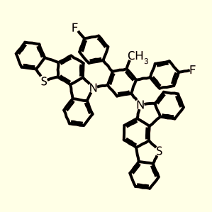 Cc1c(-c2ccc(F)cc2)c(-n2c3ccccc3c3c4sc5ccccc5c4ccc32)cc(-n2c3ccccc3c3c4sc5ccccc5c4ccc32)c1-c1ccc(F)cc1